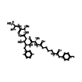 CC[C@H](C)[C@H](NC(=O)C[C@H](O)[C@H](Cc1ccccc1)NC(=O)[C@@H](NC(=O)CCCCNC(=O)Cc1ccc(C)cc1)C(C)C)C(=O)N[C@H](C(=O)O)C(C)C